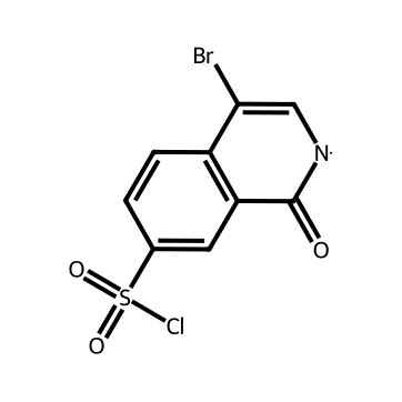 O=C1[N]C=C(Br)c2ccc(S(=O)(=O)Cl)cc21